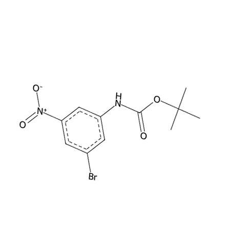 CC(C)(C)OC(=O)Nc1cc(Br)cc([N+](=O)[O-])c1